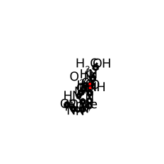 COc1cc(CN2CCN([C@H]3CCCC4(CCN(c5ccc(C(=O)NS(=O)(=O)c6ccc(NC[C@H]7CC[C@](C)(O)CC7)c([N+](=O)[O-])c6)c(N6c7cc8cc[nH]c8nc7O[C@H]7COCC[C@@H]76)c5)CC4)C3)[C@H](c3ccccc3C(C)C)C2)cnc1N1CCOCC1